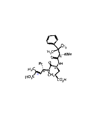 CN[C@H](C(=O)N[C@@H](CCC(=O)O)C(=O)N(C)[C@H](/C=C(\C)C(=O)O)C(C)C)C(C)(C)c1ccccc1